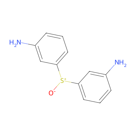 Nc1cccc([S+]([O-])c2cccc(N)c2)c1